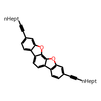 CCCCCCCC#Cc1ccc2c(c1)oc1c2ccc2c3ccc(C#CCCCCCCC)cc3oc21